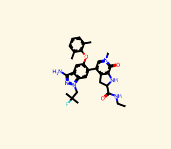 CCNC(=O)C1Cc2c(-c3cc4c(cc3Oc3c(C)cccc3C)c(N)nn4CC(C)(C)F)cn(C)c(=O)c2N1